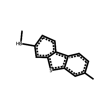 CBc1ccc2c(c1)sc1cc(C)ccc12